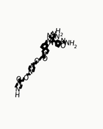 Nc1nc2cc(-c3nn(Cc4ccc5c(c4)CCN(C(=O)CCOCCN4CCN(CCOCCC(=O)N6CCNCC6)CC4)C5)c4ncnc(N)c34)ccc2o1